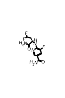 NC(=O)c1cnc(N[C@H](CC(F)F)C(N)=O)c(F)c1